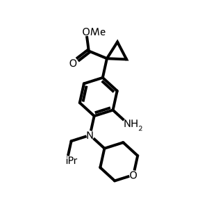 COC(=O)C1(c2ccc(N(CC(C)C)C3CCOCC3)c(N)c2)CC1